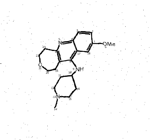 COc1ccc2nc3c(c(NC4CCN(C)CC4)c2c1)CCOCC3